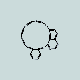 c1cnccnccc2ccccc2nc2ncnc3ccc(cc32)oc1